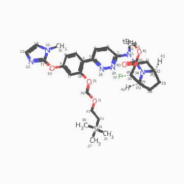 CN(c1ccc(-c2ccc(Oc3nccn3C)cc2OCOCC[Si](C)(C)C)nn1)[C@@H]1C[C@H]2CC[C@@H]([C@@H]1F)N2C(=O)OC(C)(C)C